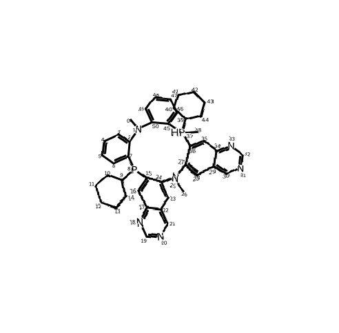 CN1c2ccccc2P(C2CCCCC2)c2cc3ncncc3cc2N(C)c2cc3cncnc3cc2[PH](C)(C2CCCCC2)c2ccccc21